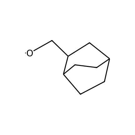 [O]CC1CC2CCC1CC2